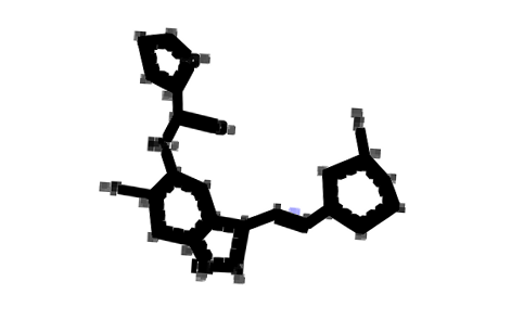 O=C(Nc1cc2c(/C=C/c3cccc(F)c3)n[nH]c2cc1F)c1ccco1